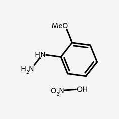 COc1ccccc1NN.O=[N+]([O-])O